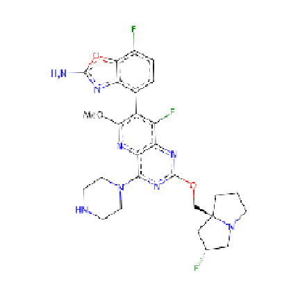 COc1nc2c(N3CCNCC3)nc(OC[C@@]34CCCN3C[C@H](F)C4)nc2c(F)c1-c1ccc(F)c2oc(N)nc12